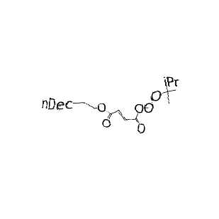 CCCCCCCCCCCCOC(=O)C=CC(=O)OOOC(C)(C)C(C)C